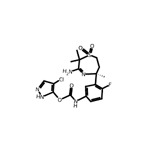 CC1(C)C(N)=N[C@](C)(c2cc(NC(=O)Oc3[nH]ncc3Cl)ccc2F)CCS1(=O)=O